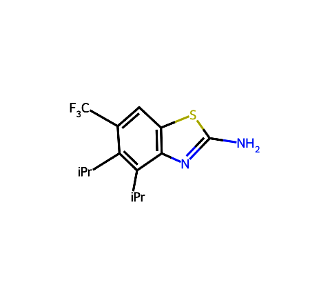 CC(C)c1c(C(F)(F)F)cc2sc(N)nc2c1C(C)C